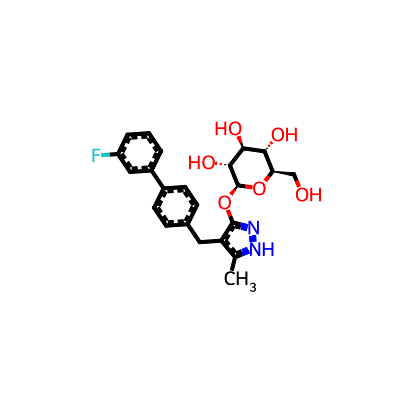 Cc1[nH]nc(O[C@@H]2O[C@H](CO)[C@@H](O)[C@H](O)[C@H]2O)c1Cc1ccc(-c2cccc(F)c2)cc1